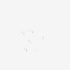 C[C@H](Nc1nccc(N2C(=O)OCC2c2ccccc2)n1)c1ccc(-c2ccccc2)cc1